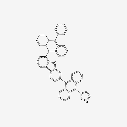 C1=CC2C(c3ccccc3)=c3ccccc3=C(c3cccc4c3sc3cc(-c5c6ccccc6c(-c6ccsc6)c6ccccc56)ccc34)C2C=C1